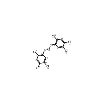 Clc1cc(Cl)c(SSSc2cc(Cl)c(Cl)cc2Cl)cc1Cl